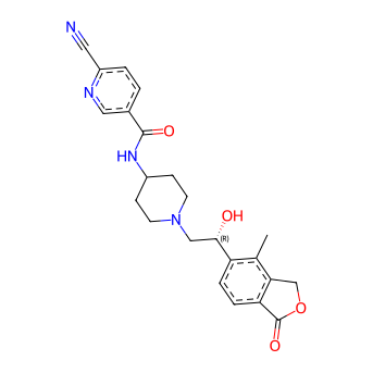 Cc1c([C@@H](O)CN2CCC(NC(=O)c3ccc(C#N)nc3)CC2)ccc2c1COC2=O